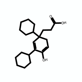 O=C(O)CCC1(C2CCCCC2)C=C(C2CCCCC2)C(O)=CC1